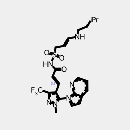 CC(C)CCNC=CCS(=O)(=O)NC(=O)/C=C/c1c(C(F)(F)F)nn(C)c1-n1ccc2cccnc21